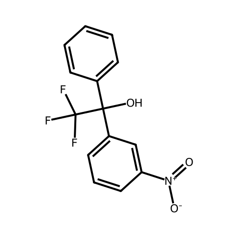 O=[N+]([O-])c1cccc(C(O)(c2ccccc2)C(F)(F)F)c1